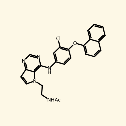 CC(=O)NCCn1ccc2ncnc(Nc3ccc(Oc4cccc5ccccc45)c(Cl)c3)c21